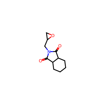 O=C1C2CCCCC2C(=O)N1CC1CO1